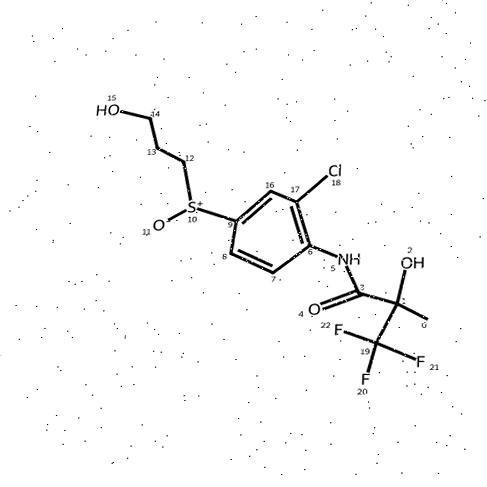 CC(O)(C(=O)Nc1ccc([S+]([O-])CCCO)cc1Cl)C(F)(F)F